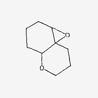 C1CC2OCCCC23OC3C1